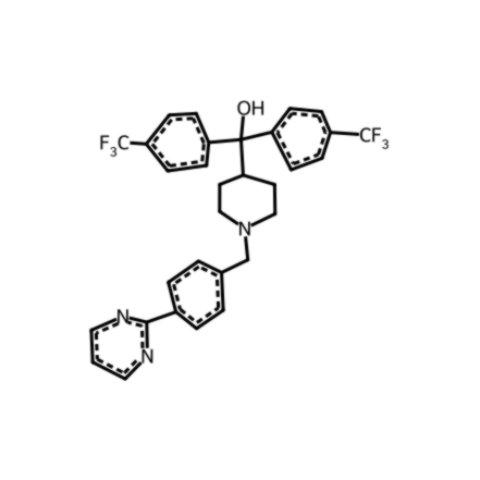 OC(c1ccc(C(F)(F)F)cc1)(c1ccc(C(F)(F)F)cc1)C1CCN(Cc2ccc(-c3ncccn3)cc2)CC1